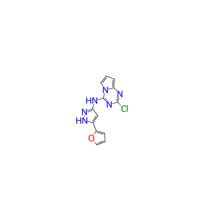 Clc1nc(Nc2cc(-c3ccco3)[nH]n2)n2cccc2n1